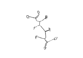 O=C(Cl)C(F)C(F)C(F)C(F)C(=O)Cl